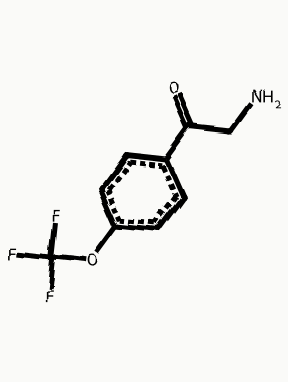 NCC(=O)c1ccc(OC(F)(F)F)cc1